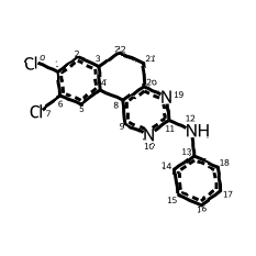 Clc1cc2c(cc1Cl)-c1cnc(Nc3ccccc3)nc1CC2